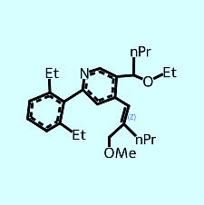 CCC/C(=C/c1cc(-c2c(CC)cccc2CC)ncc1C(CCC)OCC)COC